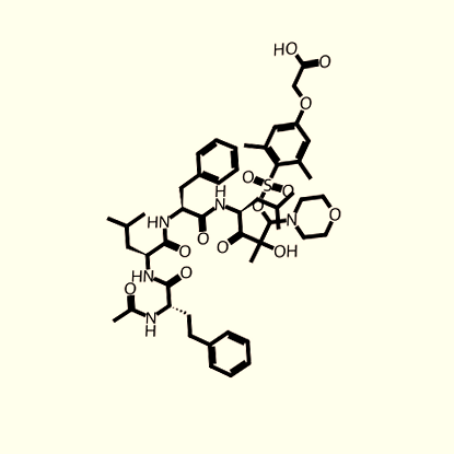 CC(=O)N[C@@H](CCc1ccccc1)C(=O)N[C@@H](CC(C)C)C(=O)N[C@@H](Cc1ccccc1)C(=O)N[C@@H](CC(C)C)C(=O)C(C)(O)C(OS(=O)(=O)c1c(C)cc(OCC(=O)O)cc1C)N1CCOCC1